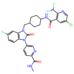 CNC(=O)c1ccc(-n2c(=O)n(CC3CCC(NC(=O)c4cc(Cl)cnc4C(F)F)CC3)c3cc(F)ccc32)cn1